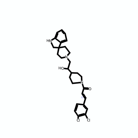 O=C(/C=C/c1ccc(Cl)c(Cl)c1)N1CCC(C(O)CN2CCC3(CC2)CNc2ccccc23)CC1